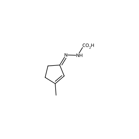 CC1=CC(=NNC(=O)O)CC1